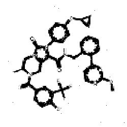 COc1nccc(-c2ccccc2CNC(=O)c2c3n(c(=O)n2-c2ccc(OC4CC4)cc2)C[C@H](C)N(C(=O)c2ccc(Br)c(C(F)(F)F)c2)C3)n1